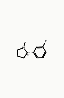 CN1CCC[C@H]1c1cccc(F)c1